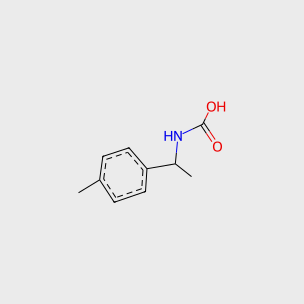 Cc1ccc(C(C)NC(=O)O)cc1